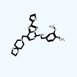 COc1ccc(CNc2ncc(CN3CCC4(CC3)OCCO4)c3nc(-c4ccco4)nn23)cc1OC